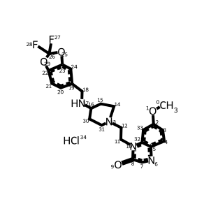 COc1ccc2ncc(=O)n(CCN3CCC(NCc4ccc5c(c4)OC(F)(F)O5)CC3)c2c1.Cl